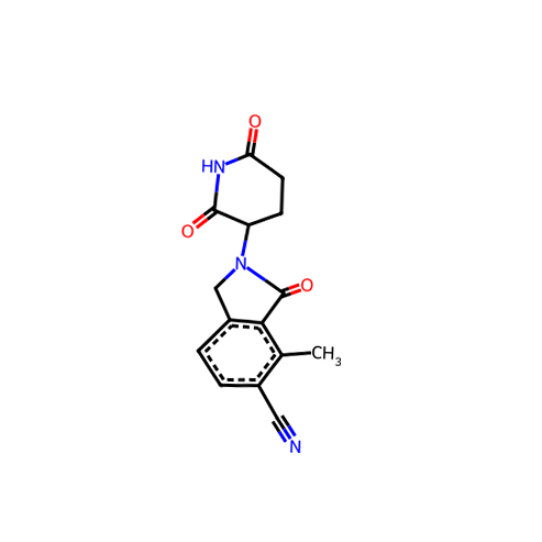 Cc1c(C#N)ccc2c1C(=O)N(C1CCC(=O)NC1=O)C2